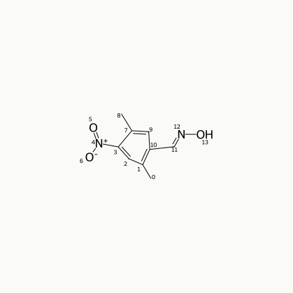 Cc1cc([N+](=O)[O-])c(C)cc1/C=N/O